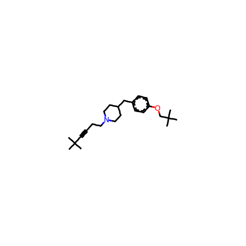 CC(C)(C)C#CCCN1CCC(Cc2ccc(OCC(C)(C)C)cc2)CC1